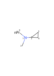 CCCN(C)[C]1CC1